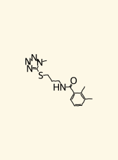 Cc1cccc(C(=O)NCCCSc2nnnn2C)c1C